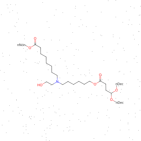 CCCCCCCCCCOC(CCC(=O)OCCCCCCN(CCO)CCCCCCCC(=O)OCCCCCCCCC)OCCCCCCCCCC